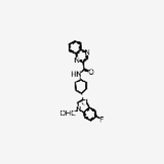 O=CN(CC[C@H]1CC[C@@H](NC(=O)c2cnc3ccccc3n2)CC1)c1ccc(F)cc1Cl